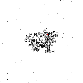 CC(C)C[C@H](NC(=O)[C@H](CO)NC(=O)[C@H](C)NC(=O)[C@@H](N)CCC(N)=O)C(=O)N[C@@H](CCC(=O)O)C(=O)N[C@@H](C)C(=O)N[C@@H](CCC(=O)O)C(=O)N[C@@H](C)C(=O)N[C@@H](CCCCN)C(=O)O